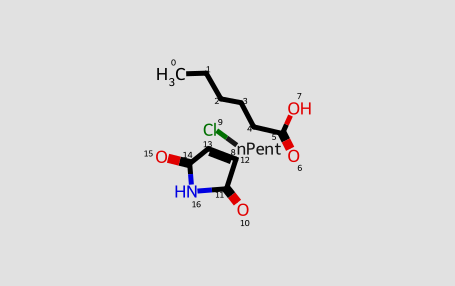 CCCCCC(=O)O.CCCCCCl.O=C1C=CC(=O)N1